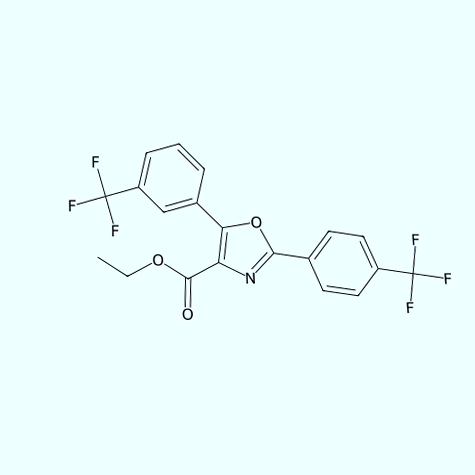 CCOC(=O)c1nc(-c2ccc(C(F)(F)F)cc2)oc1-c1cccc(C(F)(F)F)c1